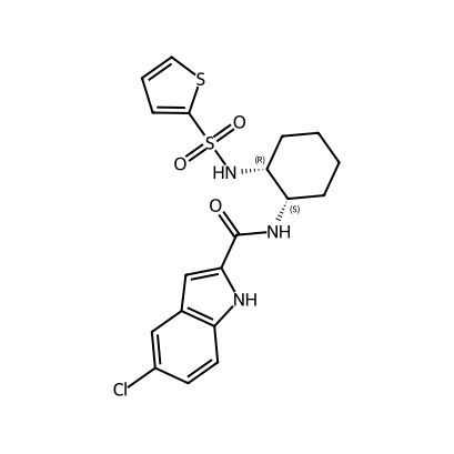 O=C(N[C@H]1CCCC[C@H]1NS(=O)(=O)c1cccs1)c1cc2cc(Cl)ccc2[nH]1